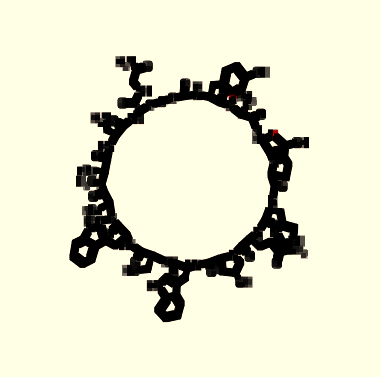 CCCC[C@H]1C(=O)N(C)[C@@H](CCCC)C(=O)N[C@@H](CN)C(=O)N[C@H](C(=O)NCC(N)=O)CSCC(=O)N[C@@H](Cc2ccc(O)cc2)C(=O)N(C)[C@@H](C)C(=O)N[C@H]2CC(O)=C3CC[C@@H](C(=O)N[C@@H](Cc4c[nH]cn4)C(=O)N[C@@H](CCC(N)=O)C(=O)N4C[C@H](O)C[C@H]4C(=O)N[C@@H](Cc4c[nH]c5ccccc45)C(=O)N[C@@H](CO)C(=O)N[C@@H](Cc4c[nH]c5ccccc45)C(=O)N1C)N3C2=O